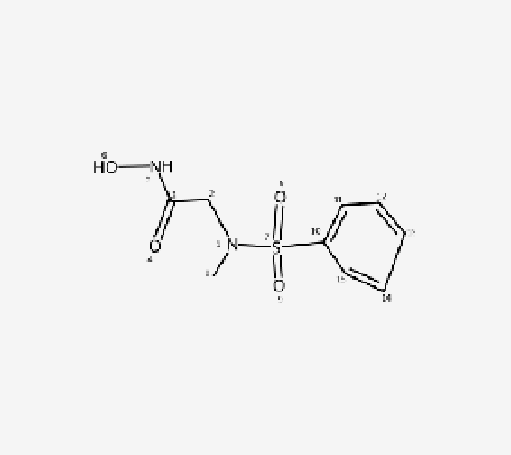 CN(CC(=O)NO)S(=O)(=O)c1ccccc1